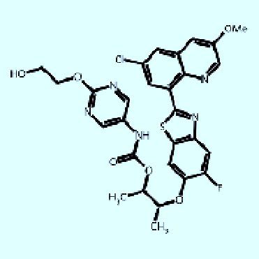 COc1cnc2c(-c3nc4cc(F)c(O[C@@H](C)[C@@H](C)OC(=O)Nc5cnc(OCCO)nc5)cc4s3)cc(Cl)cc2c1